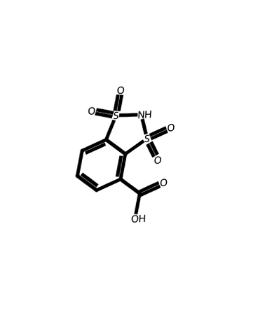 O=C(O)c1cccc2c1S(=O)(=O)NS2(=O)=O